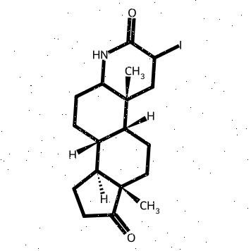 C[C@]12CC(I)C(=O)NC1CC[C@@H]1[C@H]2CC[C@]2(C)C(=O)CC[C@@H]12